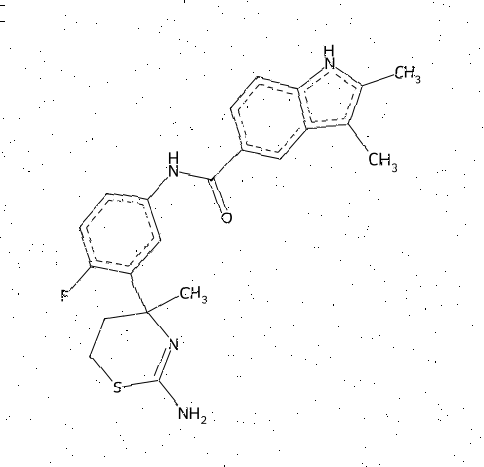 Cc1[nH]c2ccc(C(=O)Nc3ccc(F)c(C4(C)CCSC(N)=N4)c3)cc2c1C